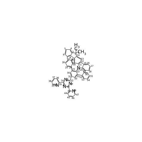 CC1(C)c2ccccc2-c2cc3c(cc21)c1ccccc1n3-c1c(-c2ccccc2)cc(-c2nc(-c3ccccn3)nc(-c3ccccn3)n2)cc1-c1ccccc1